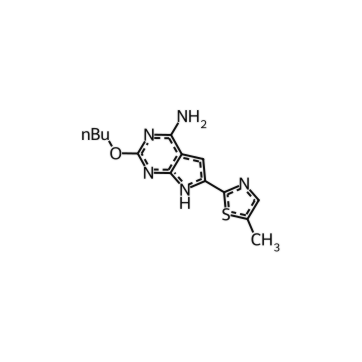 CCCCOc1nc(N)c2cc(-c3ncc(C)s3)[nH]c2n1